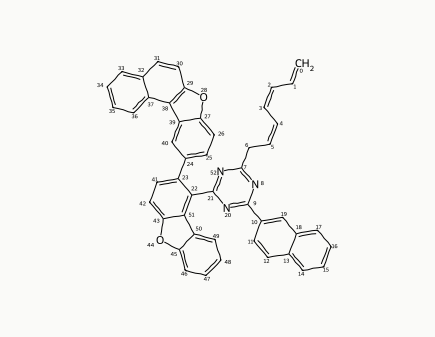 C=C/C=C\C=C/Cc1nc(-c2ccc3ccccc3c2)nc(-c2c(-c3ccc4oc5ccc6ccccc6c5c4c3)ccc3oc4ccccc4c23)n1